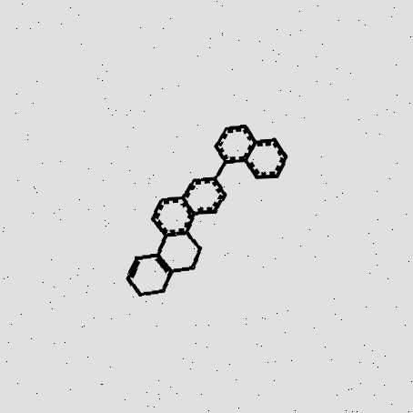 C1=CC2=C(CC1)CCc1c2ccc2cc(-c3cccc4ccccc34)ccc12